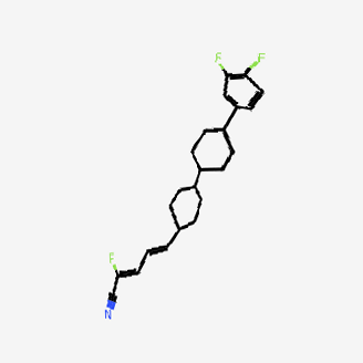 N#CC(F)=CC=CC1CCC(C2CCC(c3ccc(F)c(F)c3)CC2)CC1